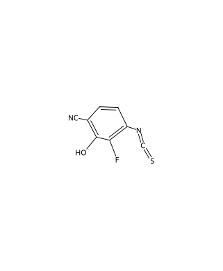 N#Cc1ccc(N=C=S)c(F)c1O